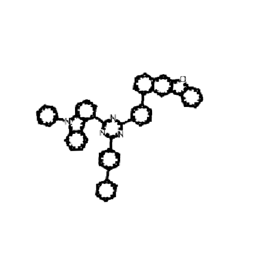 c1ccc(-c2ccc(-c3nc(-c4cccc(-c5cccc6cc7oc8ccccc8c7cc56)c4)nc(-c4cccc5c4c4ccccc4n5-c4ccccc4)n3)cc2)cc1